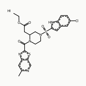 CCOC(=O)CC1CN(S(=O)(=O)c2cc3cc(Cl)ccc3[nH]2)CCN1C(=O)c1nc2cc(C)ncc2s1.I